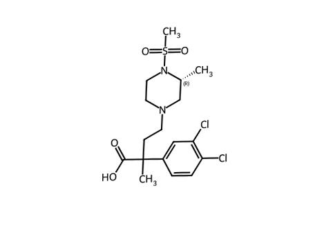 C[C@@H]1CN(CCC(C)(C(=O)O)c2ccc(Cl)c(Cl)c2)CCN1S(C)(=O)=O